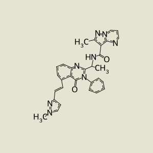 Cc1nn2cccnc2c1C(=O)NC(C)c1nc2cccc(/C=C/c3ccn(C)n3)c2c(=O)n1-c1ccccc1